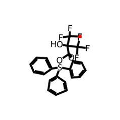 O=C(OS(c1ccccc1)(c1ccccc1)c1ccccc1)C(O)(C(F)(F)F)C(F)(F)F